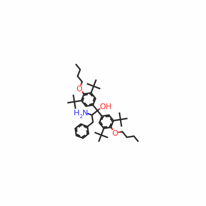 CCCCOc1c(C(C)(C)C)cc(C(O)(c2cc(C(C)(C)C)c(OCCCC)c(C(C)(C)C)c2)C(N)Cc2ccccc2)cc1C(C)(C)C